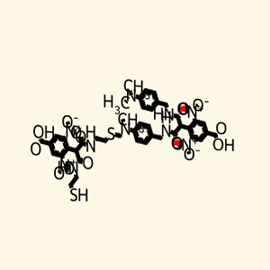 CN(C)c1ccc(CNC(=O)C(C(=O)NCc2ccc(N(C)CSCCNC(=O)C(C(=O)NCCS)c3c([N+](=O)[O-])cc(C(=O)O)cc3[N+](=O)[O-])cc2)c2c([N+](=O)[O-])cc(C(=O)O)cc2[N+](=O)[O-])cc1